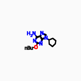 CCCCOc1nc(N)c2ncn(C3CCCCC3)c2n1